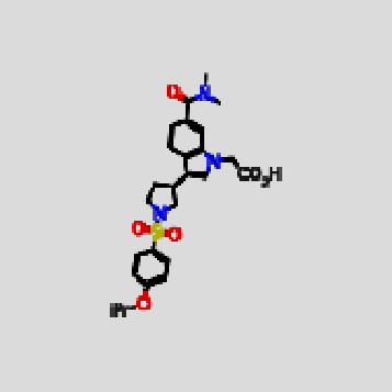 CC(C)Oc1ccc(S(=O)(=O)N2CCC(c3cn(CC(=O)O)c4cc(C(=O)N(C)C)ccc34)C2)cc1